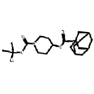 CCC(C)(C)OC(=O)N1CCC(OC(=O)C23CC4CC(CC(C4)C2)C3)CC1